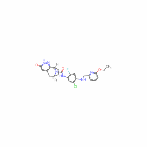 O=C(Nc1cc(Cl)c(NCc2cccc(OCC(F)(F)F)n2)cc1F)N1[C@H]2CC[C@@H]1c1n[nH]c(=O)cc1C2